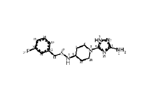 Nc1n[nH]c(N2CCC(NSCc3cccc(F)c3)CC2)n1